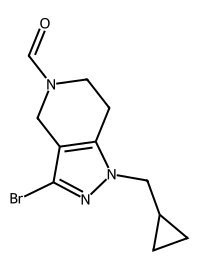 O=CN1CCc2c(c(Br)nn2CC2CC2)C1